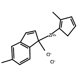 CC1=[C]([Zr+2][C]2(C)C=Cc3cc(C)ccc32)CC=C1.[Cl-].[Cl-]